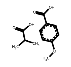 CC(C)C(=O)O.COc1ccc(C(=O)O)cc1